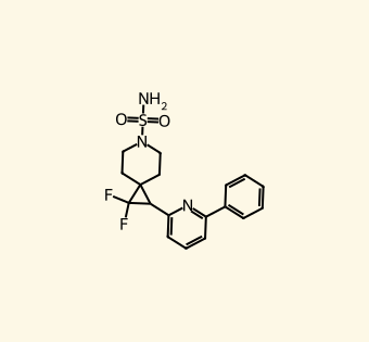 NS(=O)(=O)N1CCC2(CC1)C(c1cccc(-c3ccccc3)n1)C2(F)F